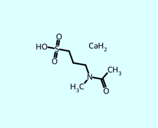 CC(=O)N(C)CCCS(=O)(=O)O.[CaH2]